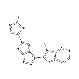 Cc1ncc(-c2cn3c(ccn3-c3cc4ccncc4n3C)n2)[nH]1